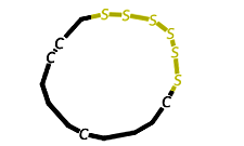 C1CCCCCSSSSSSCCCCC1